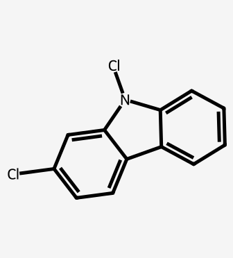 Clc1ccc2c3ccccc3n(Cl)c2c1